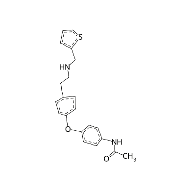 CC(=O)Nc1ccc(Oc2ccc(CCNCc3cccs3)cc2)cc1